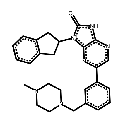 CN1CCN(Cc2cccc(-c3cnc4[nH]c(=O)n(C5Cc6ccccc6C5)c4n3)c2)CC1